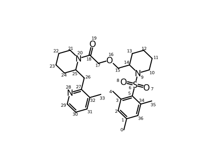 Cc1cc(C)c(S(=O)(=O)N2CCCCC2COCC(=O)N2CCCCC2Cc2ncccc2C)c(C)c1